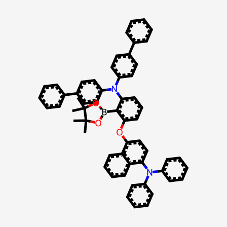 CC1(C)OB(c2c(Oc3ccc(N(c4ccccc4)c4ccccc4)c4ccccc34)cccc2N(c2ccc(-c3ccccc3)cc2)c2ccc(-c3ccccc3)cc2)OC1(C)C